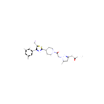 COC(=O)CC1=NN(CC(=O)N2CCC(c3nc(-c4cc(C(F)(F)F)cc(C(F)(F)F)c4)c(CI)s3)CC2)C(C)C1